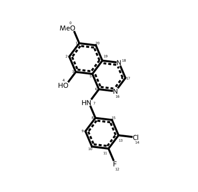 COc1cc(O)c2c(Nc3ccc(F)c(Cl)c3)ncnc2c1